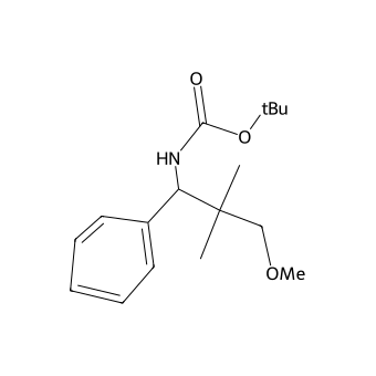 COCC(C)(C)C(NC(=O)OC(C)(C)C)c1ccccc1